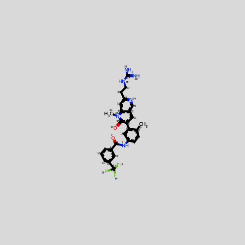 Cc1ccc(NC(=O)c2cccc(C(F)(F)F)c2)cc1-c1cc2cnc(CCNC(=N)N)cc2n(C)c1=O